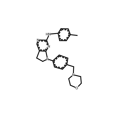 Cc1ccc(Nc2ncc3c(n2)N(c2ccc(CN4CCOCC4)cc2)CC3)cc1